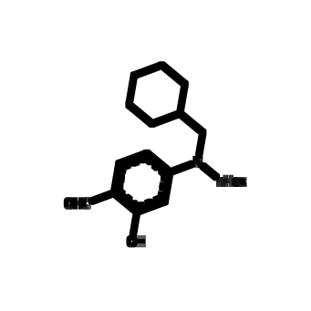 CCCCCCN(CC1CCCCC1)c1ccc(C=O)c(O)c1